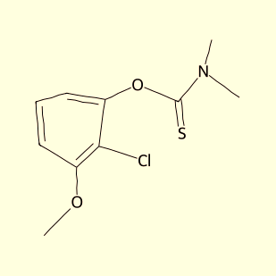 COc1cccc(OC(=S)N(C)C)c1Cl